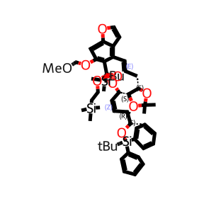 COCOc1cc2occc2c(/C=C/C[C@@H]2OC(C)(C)O[C@@H]2C(/C=C\[C@@H](C)[C@H](C)O[Si](c2ccccc2)(c2ccccc2)C(C)(C)C)O[Si](C)(C)C(C)(C)C)c1C(=O)OCC[Si](C)(C)C